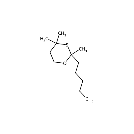 CCCCCC1(C)OCCC(C)(C)S1